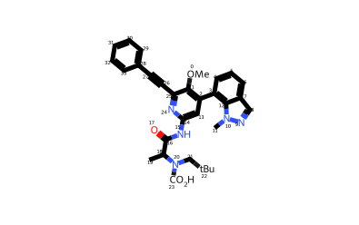 COc1c(-c2cccc3cnn(C)c23)cc(NC(=O)C(C)N(CC(C)(C)C)C(=O)O)nc1C#Cc1ccccc1